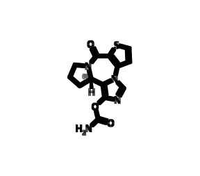 NC(=O)Oc1ncn2c1[C@@H]1CCCN1C(=O)c1sccc1-2